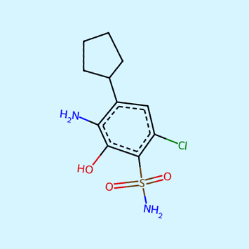 Nc1c(C2CCCC2)cc(Cl)c(S(N)(=O)=O)c1O